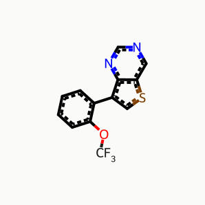 FC(F)(F)Oc1ccccc1-c1csc2cncnc12